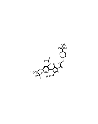 CCc1nc(C(=O)NCC2CCC(S(C)(=O)=O)CC2)c(Cl)n1-c1ncc(C[C@H](C)C(F)(F)F)cc1OC(F)F